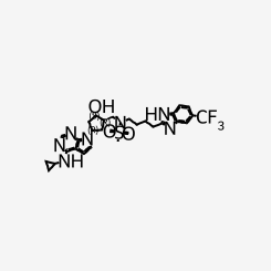 CS(=O)(=O)N(CCCCc1nc2cc(C(F)(F)F)ccc2[nH]1)C[C@H]1C[C@@H](n2ccc3c(NC4CC4)ncnc32)C[C@@H]1O